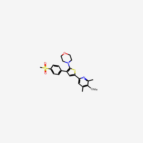 COc1c(C)cc(-c2cc(-c3ccc(S(C)(=O)=O)cc3)c(N3CCOCC3)s2)nc1C